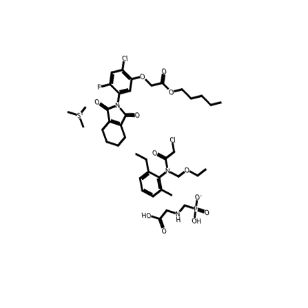 CCCCCOC(=O)COc1cc(N2C(=O)C3=C(CCCC3)C2=O)c(F)cc1Cl.CCOCN(C(=O)CCl)c1c(C)cccc1CC.C[S+](C)C.O=C(O)CNCP(=O)([O-])O